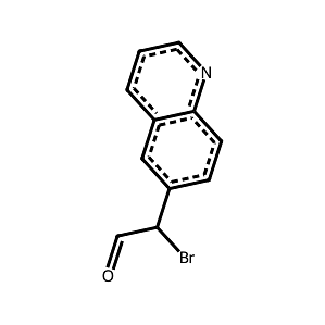 O=CC(Br)c1ccc2ncccc2c1